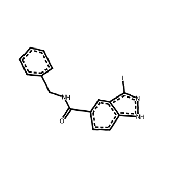 O=C(NCc1ccccc1)c1ccc2[nH]nc(I)c2c1